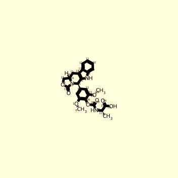 COc1cc([C@@H]2c3[nH]c4ccccc4c3C[C@H]3COC(=O)N32)cc(OC)c1OC(=O)N[C@@H](C)C(=O)O